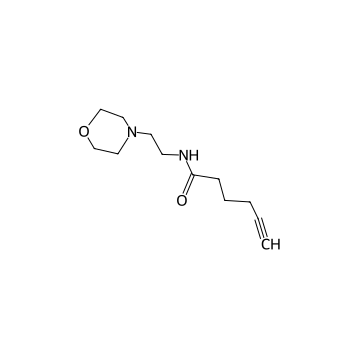 C#CCCCC(=O)NCCN1CCOCC1